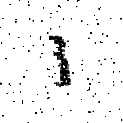 CNS(=O)(=O)c1cccc(OCC(O)CN[C@H]2COC3(CCN(S(=O)(=O)c4cnc5c(c4)OCCN5C)CC3)C2)c1